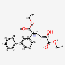 CCOC(=O)/C(O)=C/C=C(/C(=O)OCC)c1cccc(-c2ccccc2)c1